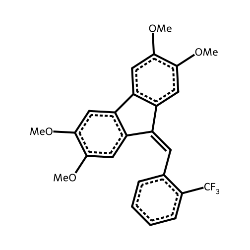 COc1cc2c(cc1OC)-c1cc(OC)c(OC)cc1C2=Cc1ccccc1C(F)(F)F